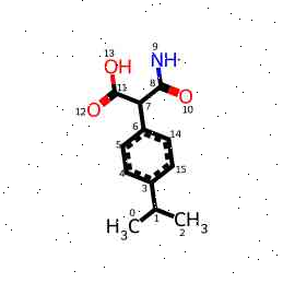 CC(C)c1ccc(C(C([NH])=O)C(=O)O)cc1